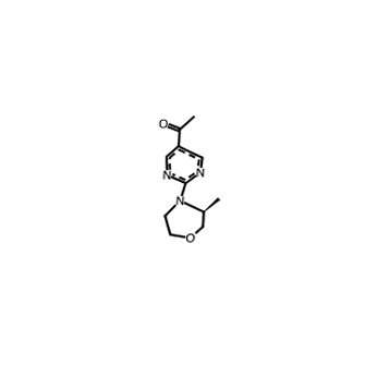 CC(=O)c1cnc(N2CCOC[C@@H]2C)nc1